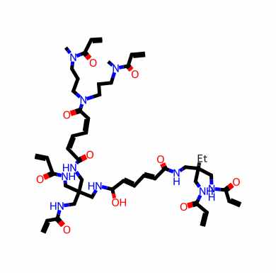 C=CC(=O)NCC(CC)(CNC(=O)C=C)CNC(=O)/C=C/C=C/C(O)NCC(CNC(=O)C=C)(CNC(=O)C=C)CNC(=O)/C=C\C=C/C(=O)N(CCCN(C)C(=O)C=C)CCCN(C)C(=O)C=C